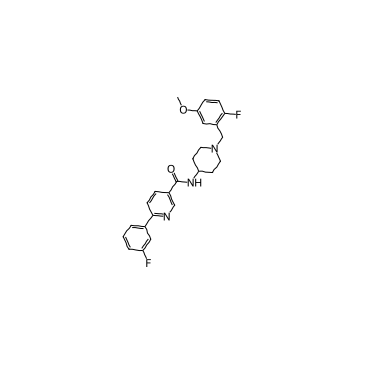 COc1ccc(F)c(CN2CCC(NC(=O)c3ccc(-c4cccc(F)c4)nc3)CC2)c1